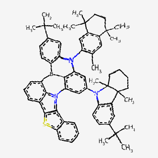 Cc1cc2c(cc1N1c3cc(C(C)(C)C)ccc3B3c4c1cc(N1c5ccc(C(C)(C)C)cc5C5(C)CCCCC15C)cc4-n1c4c3cccc4c3sc4ccccc4c31)C(C)(C)CCC2(C)C